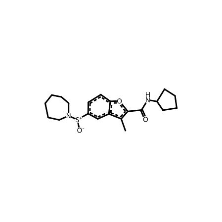 Cc1c(C(=O)NC2CCCC2)oc2ccc([S+]([O-])N3CCCCCC3)cc12